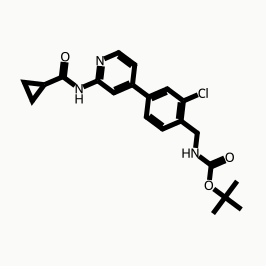 CC(C)(C)OC(=O)NCc1ccc(-c2ccnc(NC(=O)C3CC3)c2)cc1Cl